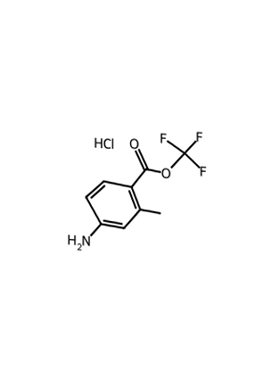 Cc1cc(N)ccc1C(=O)OC(F)(F)F.Cl